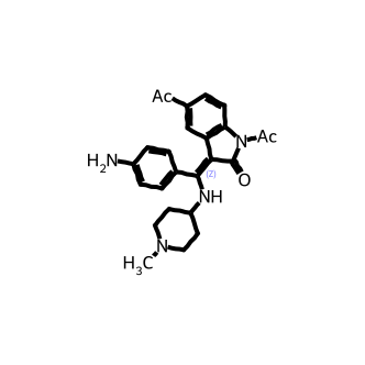 CC(=O)c1ccc2c(c1)/C(=C(/NC1CCN(C)CC1)c1ccc(N)cc1)C(=O)N2C(C)=O